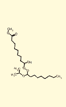 CCCCCCCCC(OOC(O)CCCCCCCC(=O)OC)OC(C)C